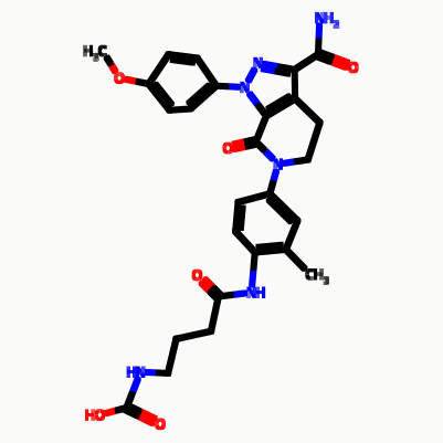 COc1ccc(-n2nc(C(N)=O)c3c2C(=O)N(c2ccc(NC(=O)CCCNC(=O)O)c(C)c2)CC3)cc1